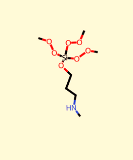 CNCCCO[Si](OOC)(OOC)OOC